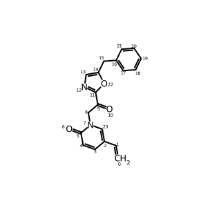 C=Cc1ccc(=O)n(CC(=O)c2ncc(Cc3ccccc3)o2)c1